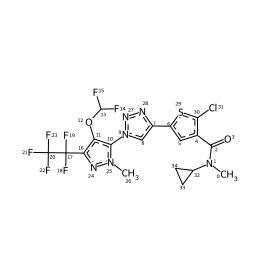 CN(C(=O)c1cc(-c2cn(-c3c(OC(F)F)c(C(F)(F)C(F)(F)F)nn3C)nn2)sc1Cl)C1CC1